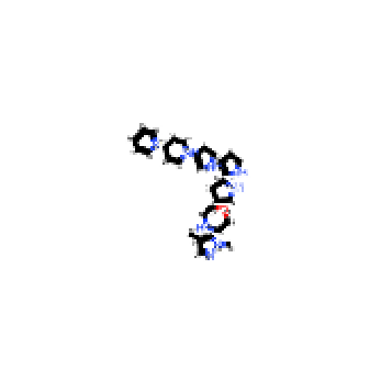 C1=CNCC1.C1=CNCC1.C1CCNC1.C1CCNCC1.C1COCCN1.Cc1cnn(C)c1.c1ccncc1